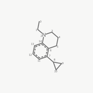 CCN1CCCc2c(C3CC3)cccc21